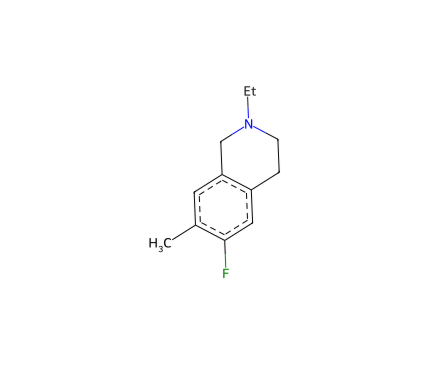 CCN1CCc2cc(F)c(C)cc2C1